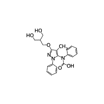 Cc1c(OCC(CO)CO)nn(-c2ccccc2)c1N(C(=O)O)c1ccccc1